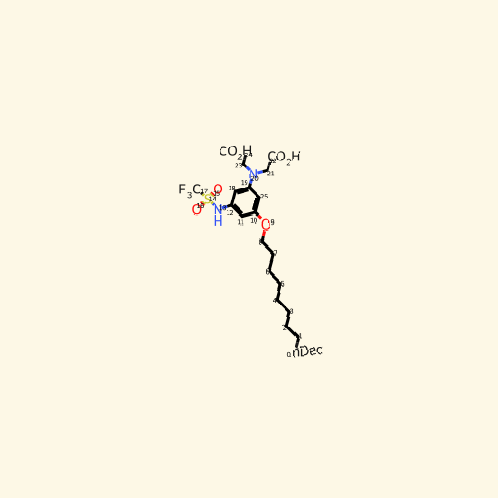 CCCCCCCCCCCCCCCCCCOc1cc(NS(=O)(=O)C(F)(F)F)cc(N(CC(=O)O)CC(=O)O)c1